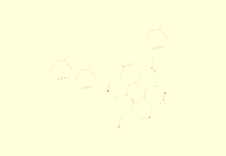 CC(=O)CCc1c(CC(C)=O)c(CC(C)=O)c(CC(C)=O)c(CC(C)=O)c1CC(C)=O.Cc1ccccc1.Cc1ccccc1.Cc1ccccc1